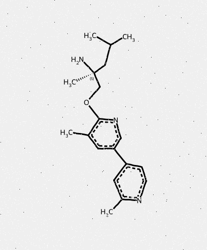 Cc1cc(-c2cnc(OC[C@@](C)(N)CC(C)C)c(C)c2)ccn1